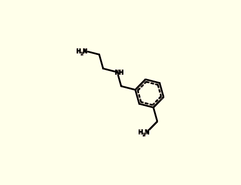 NCCNCc1cccc(CN)c1